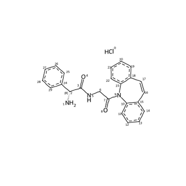 Cl.N[C@@H](C(=O)NCC(=O)N1c2ccccc2C=Cc2ccccc21)c1ccccc1